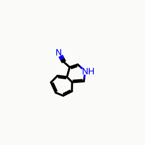 N#CC1=CNC=C2C=CC=CC=C12